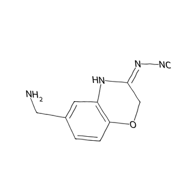 [C-]#[N+]N=C1COc2ccc(CN)cc2N1